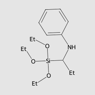 CCO[Si](OCC)(OCC)C(CC)Nc1ccccc1